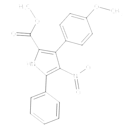 COC(=O)c1[nH]c(-c2ccccc2)c([N+](=O)[O-])c1-c1ccc(OC)cc1